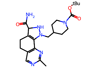 Cc1ncc2c(n1)C1=C(CC2)C(C(N)=O)NN1CC1CCN(C(=O)OC(C)(C)C)CC1